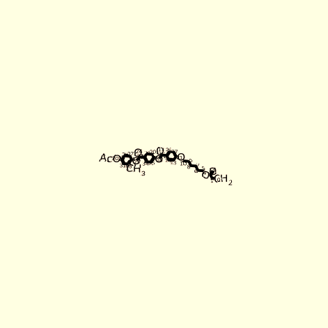 C=CC(=O)OCCCCCCOc1ccc(C(=O)Oc2ccc(C(=O)Oc3ccc(OC(C)=O)cc3C)cc2)cc1